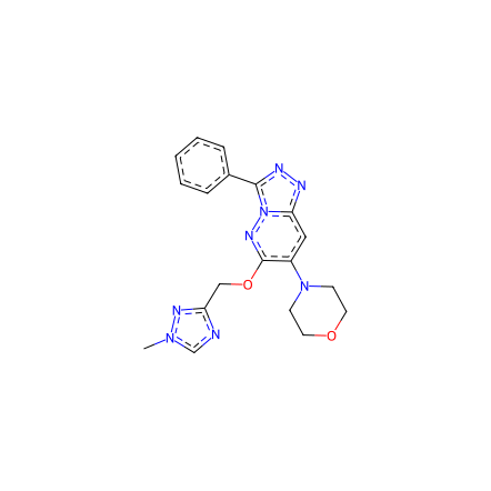 Cn1cnc(COc2nn3c(-c4ccccc4)nnc3cc2N2CCOCC2)n1